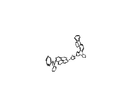 c1ccc(N(c2ccccc2)c2ccc3ccc4c(-c5ccc(-c6ccc7c(c6)c6ccccc6c6ccc8c9ccccc9oc8c67)nc5)ccc5ccc2c3c54)cc1